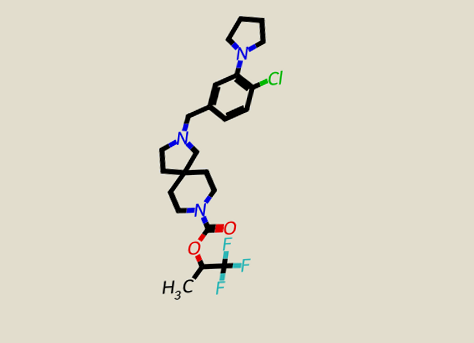 CC(OC(=O)N1CCC2(CCN(Cc3ccc(Cl)c(N4CCCC4)c3)C2)CC1)C(F)(F)F